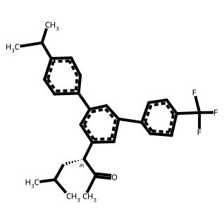 CC(=O)[C@H](CC(C)C)c1cc(-c2ccc(C(C)C)cc2)cc(-c2ccc(C(F)(F)F)cc2)c1